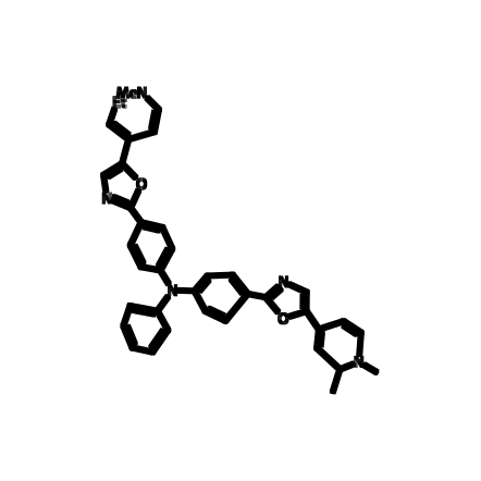 CC/C=C(\C=C/NC)c1cnc(-c2ccc(N(c3ccccc3)c3ccc(-c4ncc(C5=CC(C)N(C)C=C5)o4)cc3)cc2)o1